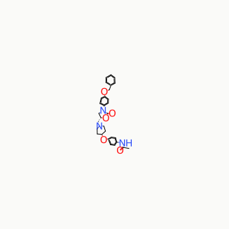 CC(=O)Nc1ccc(OC2CCN(C[C@@H]3CN(c4ccc(OCc5ccccc5)cc4)C(=O)O3)CC2)cc1